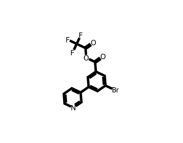 O=C(OC(=O)C(F)(F)F)c1cc(Br)cc(-c2cccnc2)c1